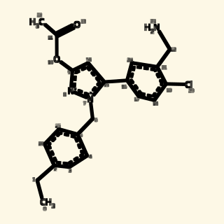 CCc1ccc(Cn2nc(OC(C)=O)cc2-c2ccc(Cl)c(CN)c2)cc1